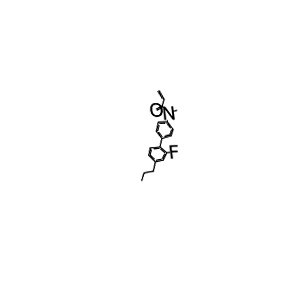 C=CC(=O)N(C)c1ccc(-c2ccc(CCC)cc2F)cc1